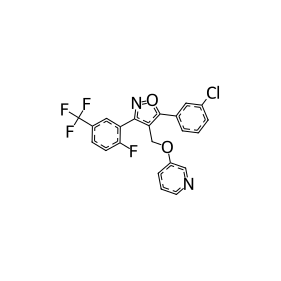 Fc1ccc(C(F)(F)F)cc1-c1noc(-c2cccc(Cl)c2)c1COc1cccnc1